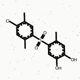 Cc1cc(S(=O)(=O)c2cc(O)c(O)cc2C)c(C)cc1Cl